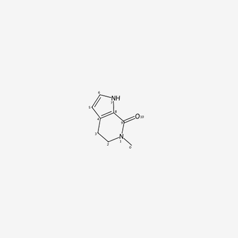 CN1CCc2cc[nH]c2C1=O